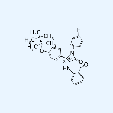 CC(C)(C)[Si](C)(C)Oc1ccc([C@@H]2[C@@H](Nc3ccccc3C=O)C(=O)N2c2ccc(F)cc2)cc1